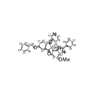 COc1ccc(C2(Cc3ccncc3)C(=O)c3ccc(OCc4ccccc4)cc3C2=O)c2[nH]c(-c3ccccc3)nc12